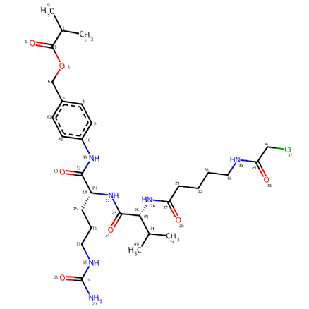 CC(C)C(=O)OCc1ccc(NC(=O)[C@@H](CCCNC(N)=O)NC(=O)[C@H](NC(=O)CCCCNC(=O)CCl)C(C)C)cc1